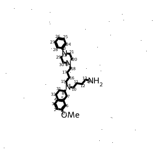 COc1ccc2c(c1)CC(N(CCCCN)CCCCN1CCN(c3ccccc3)CC1)CC2